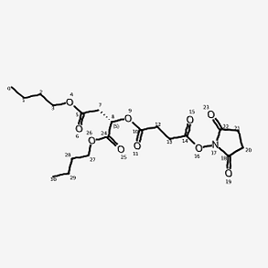 CCCCOC(=O)C[C@H](OC(=O)CCC(=O)ON1C(=O)CCC1=O)C(=O)OCCCC